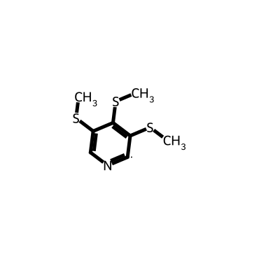 CSc1[c]ncc(SC)c1SC